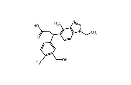 CCn1nnc2c(C)c(C(CC(=O)O)c3ccc(C)c(CO)c3)ccc21